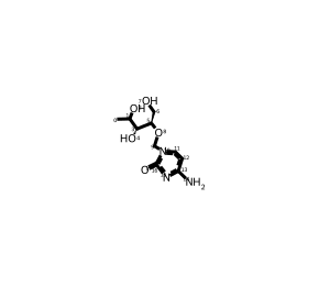 CC(O)[C@@H](O)[C@@H](CO)OCn1ccc(N)nc1=O